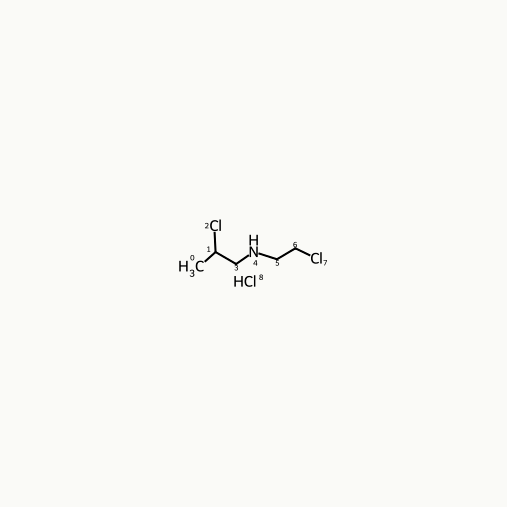 CC(Cl)CNCCCl.Cl